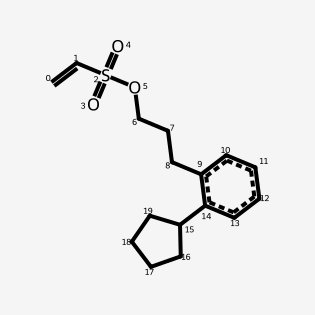 C=CS(=O)(=O)OCCCc1ccccc1C1CCCC1